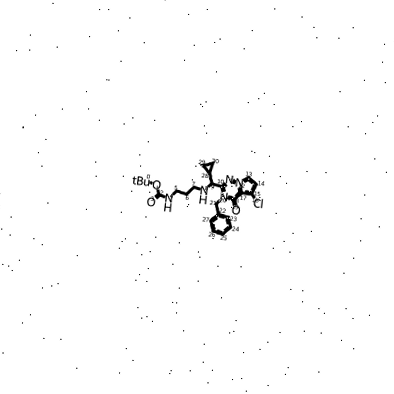 CC(C)(C)OC(=O)NCCCNC(c1nn2ccc(Cl)c2c(=O)n1Cc1ccccc1)C1CC1